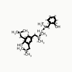 CN(C)Cc1cc(CN(C)C)c(O)c(CN(C)C)c1.CN(C)Cc1ccccc1O